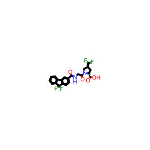 O=C(NCC(=O)N1CC(=C(F)F)C[C@H]1C(=O)O)c1ccc2c(c1)-c1ccccc1C2(F)F